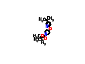 CC(C)c1ccc(OC2CCN(C(=O)OC(C)(C)C)CC2)nc1